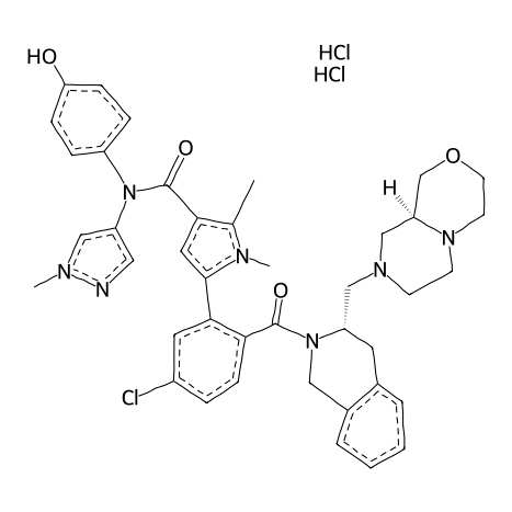 Cc1c(C(=O)N(c2ccc(O)cc2)c2cnn(C)c2)cc(-c2cc(Cl)ccc2C(=O)N2Cc3ccccc3C[C@H]2CN2CCN3CCOC[C@@H]3C2)n1C.Cl.Cl